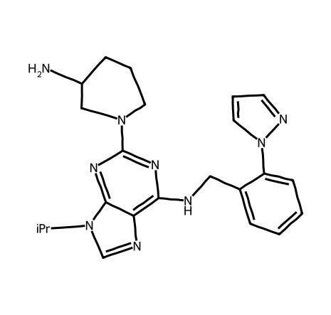 CC(C)n1cnc2c(NCc3ccccc3-n3cccn3)nc(N3CCCC(N)C3)nc21